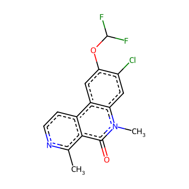 Cc1nccc2c1c(=O)n(C)c1cc(Cl)c(OC(F)F)cc21